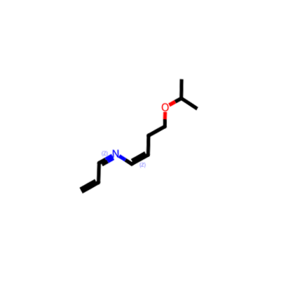 C=C/C=N\C=C/CCOC(C)C